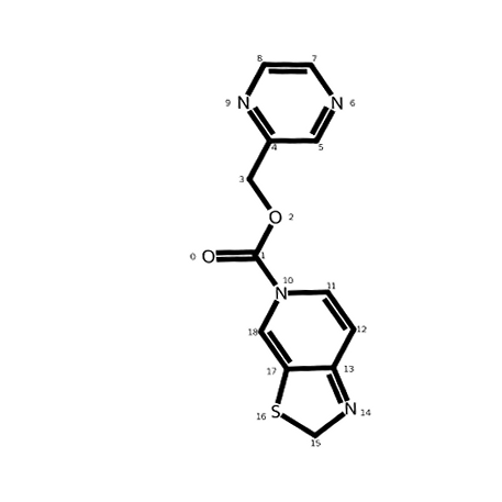 O=C(OCc1cnccn1)N1C=CC2=NCSC2=C1